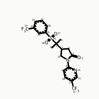 CC(C)(C1CC(=O)N(c2ccc(C(F)(F)F)cn2)C1)S(=O)(=O)c1cccc(C(F)(F)F)c1